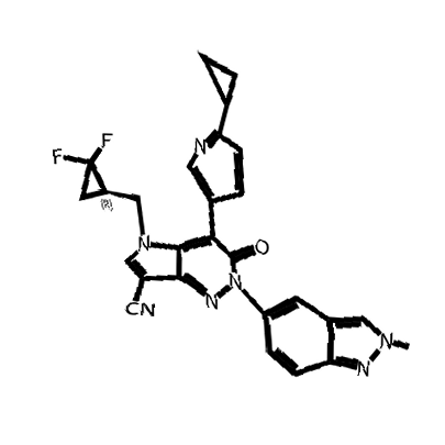 Cn1cc2cc(-n3nc4c(C#N)cn(C[C@H]5CC5(F)F)c4c(-c4ccc(C5CC5)nc4)c3=O)ccc2n1